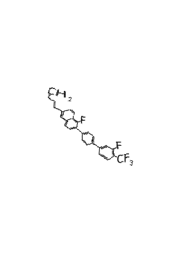 C=CCCc1ccc2c(F)c(-c3ccc(-c4ccc(C(F)(F)F)c(F)c4)cc3)ccc2c1